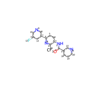 O=C(Nc1ccc(-c2cncc(F)c2)nc1C(F)(F)F)c1cccnc1